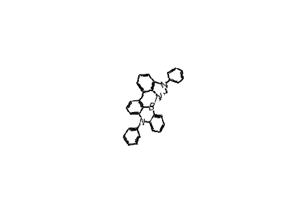 c1ccc(N2c3ccccc3B3c4c(cccc42)-c2cccc4c2[n+]3cn4-c2ccccc2)cc1